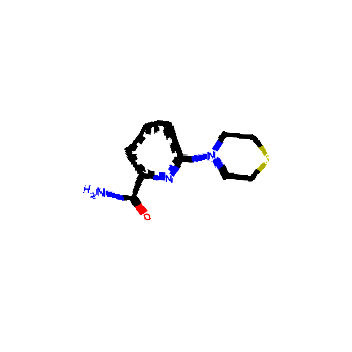 NC(=O)c1[c]ccc(N2CCSCC2)n1